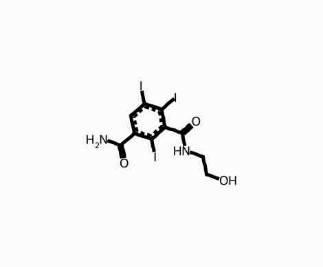 NC(=O)c1cc(I)c(I)c(C(=O)NCCO)c1I